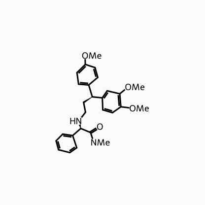 CNC(=O)[C@H](NCC[C@@H](c1ccc(OC)cc1)c1ccc(OC)c(OC)c1)c1ccccc1